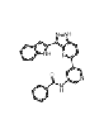 O=C(Nc1cncc(-c2ccc3[nH]nc(-c4cc5ccccc5[nH]4)c3n2)c1)c1ccccc1